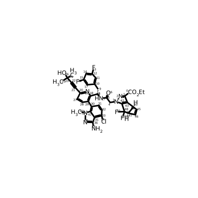 CCOC(=O)c1nn(CC(=O)N[C@@H](Cc2cc(F)cc(F)c2)c2nc(C#CC(C)(C)O)ccc2-c2ccc(Cl)c3c(N)nn(C)c23)c2c1[C@H]1C=C[C@H]1C2(F)F